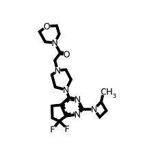 CC1CCN1c1nc(N2CCN(CC(=O)N3CCOCC3)CC2)c2c(n1)C(F)(F)CC2